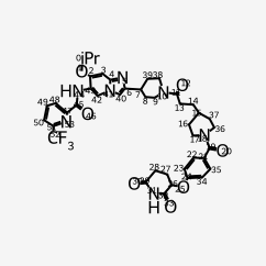 CC(C)Oc1cc2nc(C3CCN(C(=O)CCC4CCN(C(=O)c5ccc(OC6CCC(=O)NC6=O)cc5)CC4)CC3)cn2cc1NC(=O)c1cccc(C(F)(F)F)n1